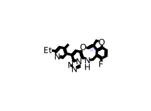 CCc1cc(C)c(-c2cc3c(n4cnnc24)NCc2c(F)ccc4c2/C(=C/O3)CO4)cn1